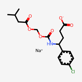 CC(C)CC(=O)OCOC(=O)NC(CCC(=O)[O-])c1ccc(Cl)cc1.[Na+]